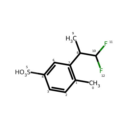 Cc1ccc(S(=O)(=O)O)cc1C(C)C(F)F